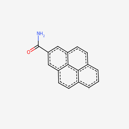 NC(=O)c1cc2ccc3[c]ccc4ccc(c1)c2c34